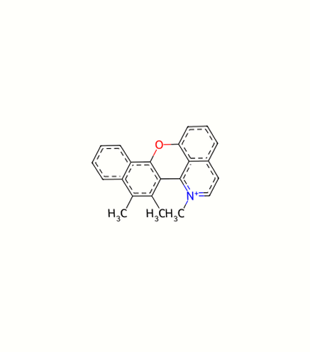 Cc1c2c(c3ccccc3c1C)Oc1cccc3cc[n+](C)c-2c13